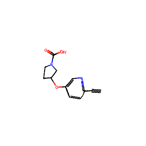 C#Cc1ccc(OC2CCN(C(=O)O)C2)cn1